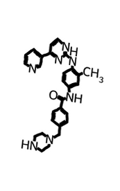 Cc1cc(NC(=O)c2ccc(CN3CCNCC3)cc2)ccc1Nc1nccc(-c2cccnc2)n1